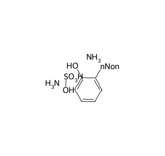 CCCCCCCCCc1ccccc1O.N.N.O=S(=O)(O)O